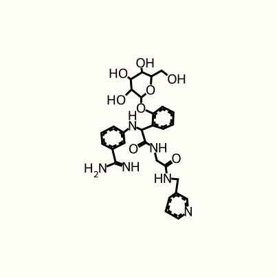 N=C(N)c1cccc(NC(C(=O)NCC(=O)NCc2cccnc2)c2ccccc2OC2OC(CO)C(O)C(O)C2O)c1